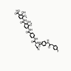 COc1c(NC(=O)c2ccc(NC(=O)c3ccc(NC(=O)[C@H](CC#N)NC(=O)c4ccc(NC(=O)Cc5ccc(F)cc5)cc4)cc3)c(OC)c2O)ccc(C(=O)O)c1O